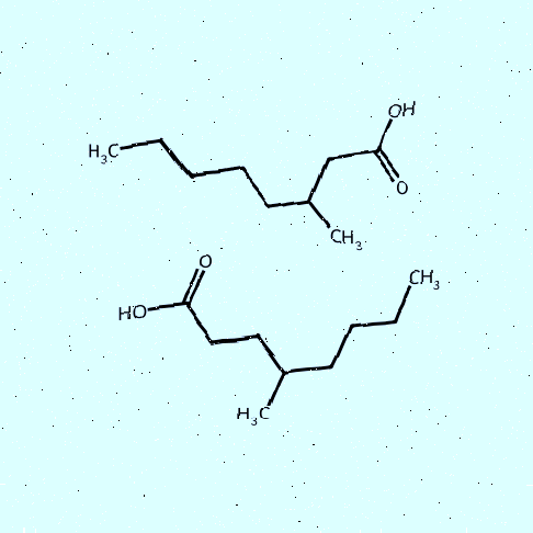 CCCCC(C)CCC(=O)O.CCCCCC(C)CC(=O)O